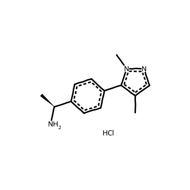 Cc1cnn(C)c1-c1ccc([C@H](C)N)cc1.Cl